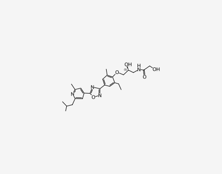 CCc1cc(-c2noc(-c3cc(C)nc(CC(C)C)c3)n2)cc(C)c1OC[C@@H](O)CNC(=O)CO